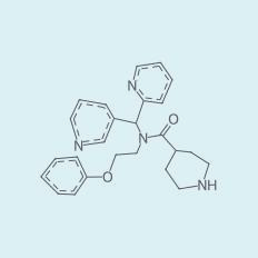 O=C(C1CCNCC1)N(CCOc1ccccc1)C(c1cccnc1)c1ccccn1